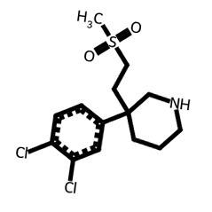 CS(=O)(=O)CCC1(c2ccc(Cl)c(Cl)c2)CCCNC1